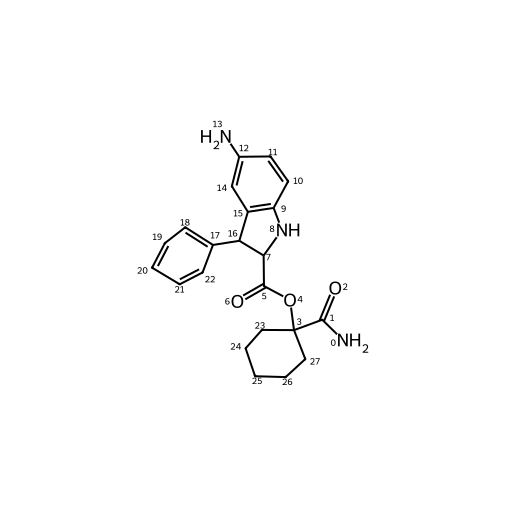 NC(=O)C1(OC(=O)C2Nc3ccc(N)cc3C2c2ccccc2)CCCCC1